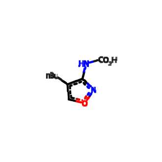 CCCCc1conc1NC(=O)O